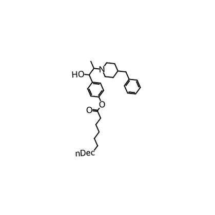 CCCCCCCCCCCCCCCC(=O)Oc1ccc(C(O)C(C)N2CCC(Cc3ccccc3)CC2)cc1